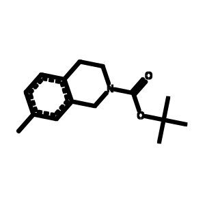 Cc1ccc2c(c1)CN(C(=O)OC(C)(C)C)CC2